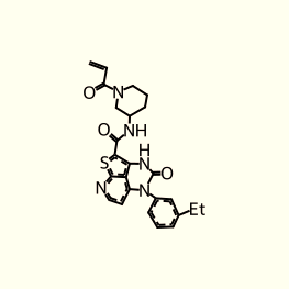 C=CC(=O)N1CCCC(NC(=O)c2sc3nccc4c3c2NC(=O)N4c2cccc(CC)c2)C1